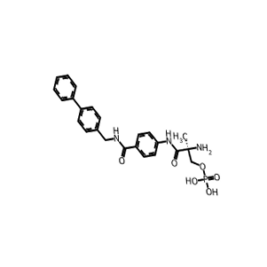 C[C@](N)(COP(=O)(O)O)C(=O)Nc1ccc(C(=O)NCc2ccc(-c3ccccc3)cc2)cc1